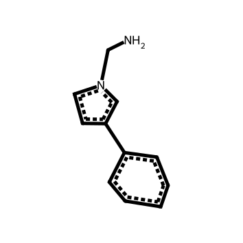 NCn1ccc(-c2ccccc2)c1